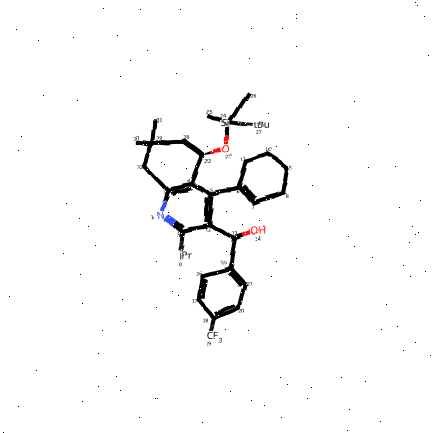 CC(C)c1nc2c(c(C3=CCCCC3)c1C(O)c1ccc(C(F)(F)F)cc1)[C@H](O[Si](C)(C)C(C)(C)C)CC(C)(C)C2